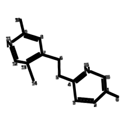 Cc1ccc(CCc2cc(C)ncc2C)nc1